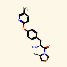 N#C[C@@H]1CSCN1C(=O)[C@@H](N)Cc1ccc(Oc2ccc([N+](=O)[O-])cn2)cc1